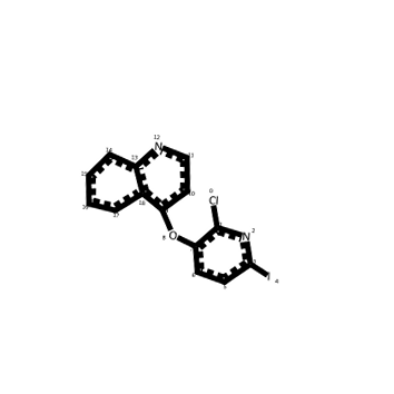 Clc1nc(I)ccc1Oc1ccnc2ccccc12